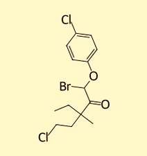 CCC(C)(CCCl)C(=O)C(Br)Oc1ccc(Cl)cc1